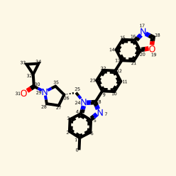 Cc1ccc2c(c1)nc(-c1ccc(-c3ccc4ncoc4c3)cc1)n2C[C@@H]1CCN(C(=O)C2CC2)C1